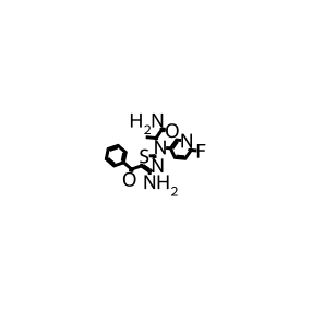 CC(C(N)=O)N(c1ccc(F)nc1)c1nc(N)c(C(=O)c2ccccc2)s1